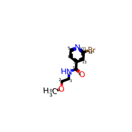 COCCNC(=O)c1ccnc(Br)c1